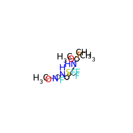 COCCN1CCC(Nc2cccc3c(CC(F)(F)F)c(C#CCNc4ccc(P(C)C)cc4OC)sc23)C(F)C1